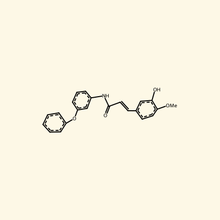 COc1ccc(/C=C/C(=O)Nc2cccc(Oc3ccccc3)c2)cc1O